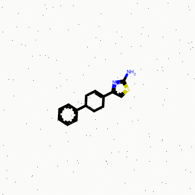 Nc1nc(C2=CCC(c3ccccc3)CC2)cs1